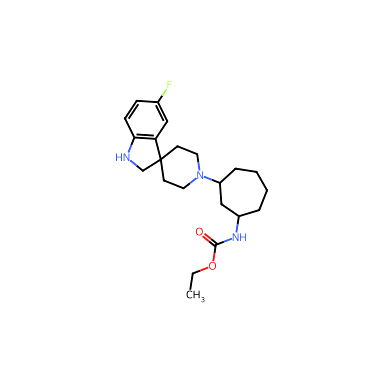 CCOC(=O)NC1CCCCC(N2CCC3(CC2)CNc2ccc(F)cc23)C1